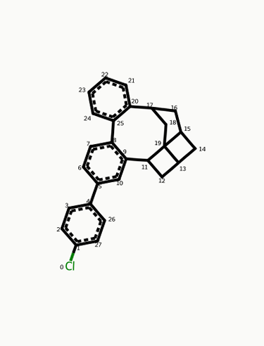 Clc1ccc(-c2ccc3c(c2)C2CC4CC5CC(CC542)c2ccccc2-3)cc1